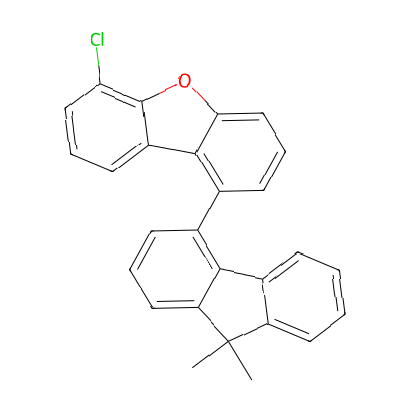 CC1(C)c2ccccc2-c2c(-c3cccc4oc5c(Cl)cccc5c34)cccc21